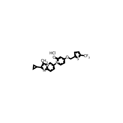 Cc1c(C2CC2)nc2ccc(-n3ccc(OCc4ccc(C(F)(F)F)s4)cc3=O)cn12.Cl